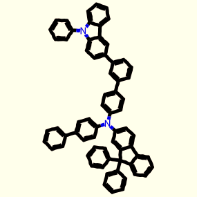 c1ccc(-c2ccc(N(c3ccc(-c4cccc(-c5ccc6c(c5)c5ccccc5n6-c5ccccc5)c4)cc3)c3ccc4c(c3)C(c3ccccc3)(c3ccccc3)c3ccccc3-4)cc2)cc1